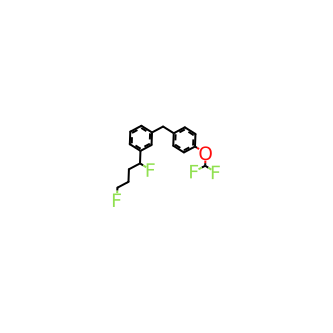 FCCCC(F)c1cccc(Cc2ccc(OC(F)F)cc2)c1